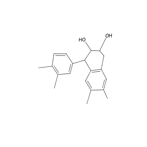 Cc1ccc(C2c3cc(C)c(C)cc3CC(O)C2O)cc1C